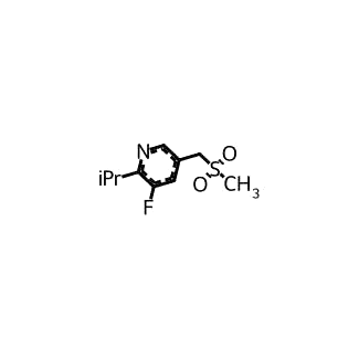 CC(C)c1ncc(CS(C)(=O)=O)cc1F